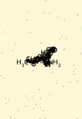 CC(C)COC(=O)N1CCC(C)(c2nc(-c3cccc(NS(=O)(=O)c4ccoc4)c3F)c(-c3ccnc(N)n3)s2)CC1